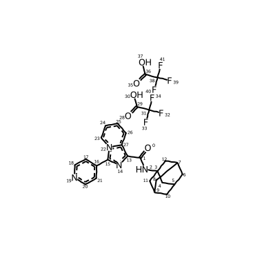 O=C(NC12CC3CC(CC(C3)C1)C2)c1nc(-c2ccncc2)n2ccccc12.O=C(O)C(F)(F)F.O=C(O)C(F)(F)F